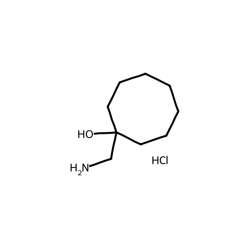 Cl.NCC1(O)CCCCCCC1